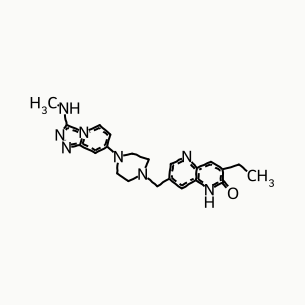 CCc1cc2ncc(CN3CCN(c4ccn5c(NC)nnc5c4)CC3)cc2[nH]c1=O